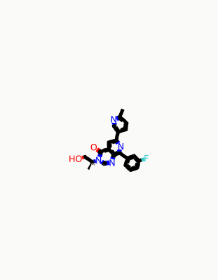 Cc1ccc(-c2cc3c(=O)n([C@@H](C)CO)cnc3c(-c3cccc(F)c3)n2)cn1